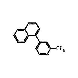 FC(F)(F)c1[c]ccc(-c2cccc3ccccc23)c1